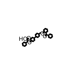 O=C(c1ccccc1)c1ccccc1OCc1ccc(-c2ccc(OC(C(=O)O)c3ccccc3)cc2)cc1